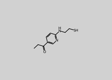 CCC(=O)c1ccc(NCCS)nc1